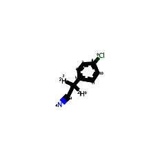 [2H]C([2H])(C#N)c1ccc(Cl)cc1